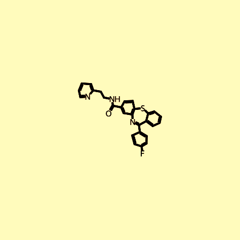 O=C(NCCc1ccccn1)c1ccc2c(c1)N=C(c1ccc(F)cc1)c1ccccc1S2